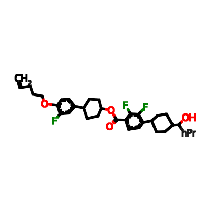 C=CCCCOc1ccc(C2CCC(OC(=O)c3ccc(C4CCC(C(O)CCC)CC4)c(F)c3F)CC2)cc1F